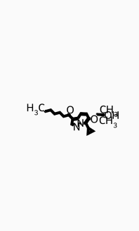 CCCCCCC(=O)c1cnn2c(C3CC3)c(OCC(C)(C)O)ccc12